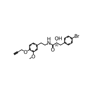 C#CCOc1ccc(CCNC(=O)[C@H](O)Cc2ccc(Br)cc2)cc1OC